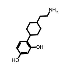 NCCC1CCC(c2ccc(O)cc2O)CC1